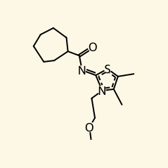 COCCn1c(C)c(C)sc1=NC(=O)C1CCCCCC1